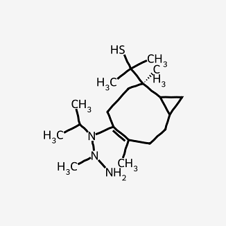 C/C1=C(\N(C(C)C)N(C)N)CC[C@@](C)(C(C)(C)S)C2CC2CC1